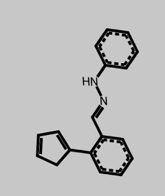 C1=CCC(c2ccccc2C=NNc2ccccc2)=C1